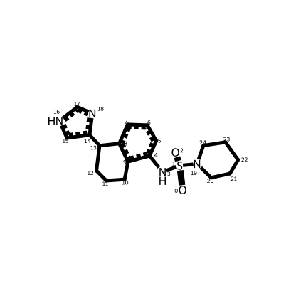 O=S(=O)(Nc1cccc2c1CCCC2c1c[nH]cn1)N1CCCCC1